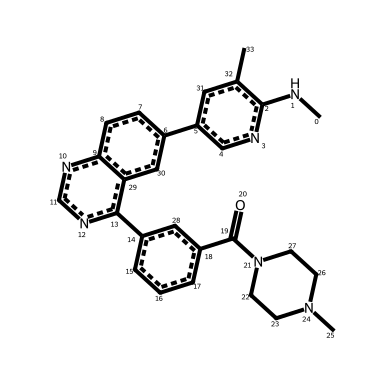 CNc1ncc(-c2ccc3ncnc(-c4cccc(C(=O)N5CCN(C)CC5)c4)c3c2)cc1C